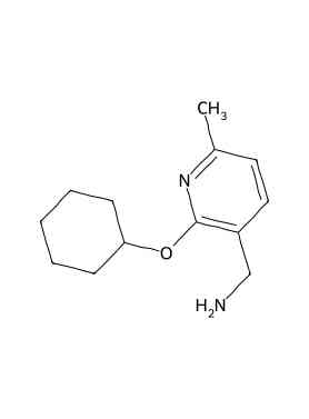 Cc1ccc(CN)c(OC2CCCCC2)n1